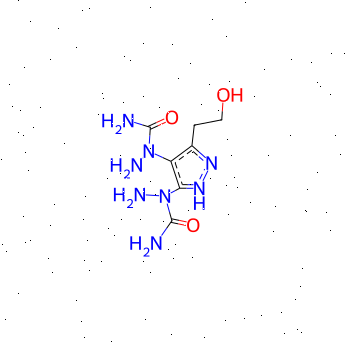 NC(=O)N(N)c1[nH]nc(CCO)c1N(N)C(N)=O